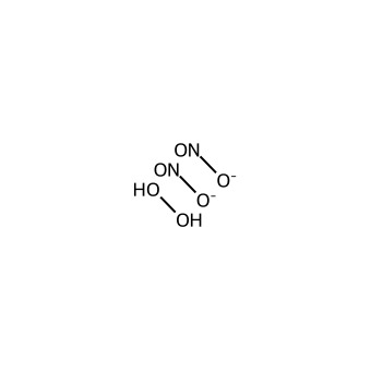 O=[NH+][O-].O=[NH+][O-].OO